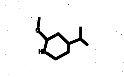 COC1CC(C(C)C)CCN1